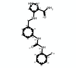 NC(=O)c1n[nH]cc1NCc1cccc(NC(=O)Nc2ccccc2F)c1